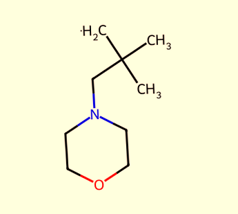 [CH2]C(C)(C)CN1CCOCC1